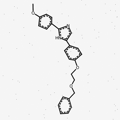 COc1ccc(-c2n[c]c(-c3ccc(OCCOCc4ccccc4)cc3)[nH]2)cc1